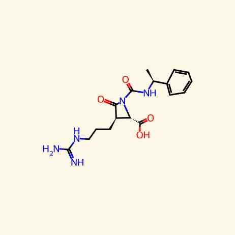 C[C@H](NC(=O)N1C(=O)[C@H](CCCNC(=N)N)[C@H]1C(=O)O)c1ccccc1